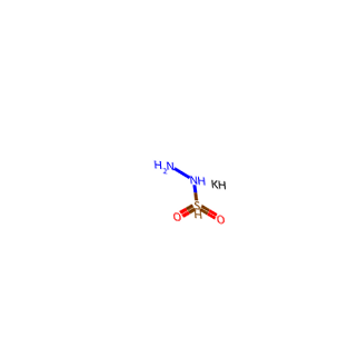 NN[SH](=O)=O.[KH]